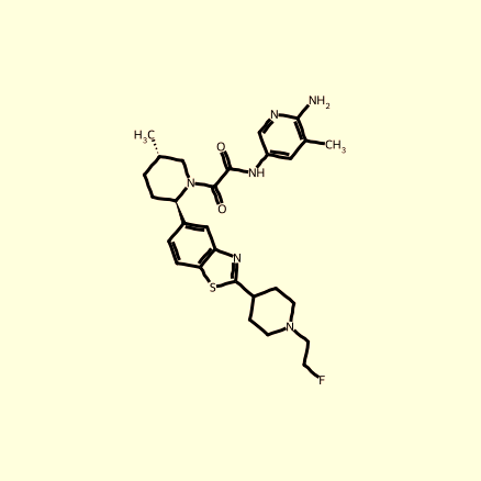 Cc1cc(NC(=O)C(=O)N2C[C@@H](C)CC[C@@H]2c2ccc3sc(C4CCN(CCF)CC4)nc3c2)cnc1N